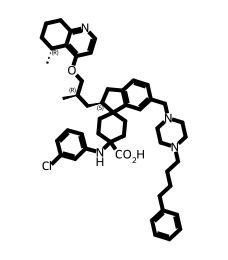 C[C@@H](COc1ccnc2c1[C@H](C)CCC2)C[C@H]1Cc2ccc(CN3CCN(CCCCc4ccccc4)CC3)cc2C12CCC(Nc1cccc(Cl)c1)(C(=O)O)CC2